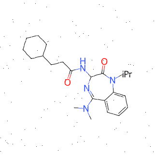 CC(C)N1C(=O)C(NC(=O)CCC2CCCCC2)N=C(N(C)C)c2ccccc21